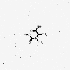 CCOC(=O)N(C)C(C)C([NH])=O